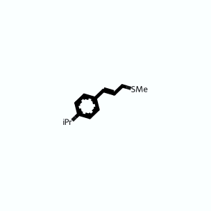 CSC/C=C/c1ccc(C(C)C)cc1